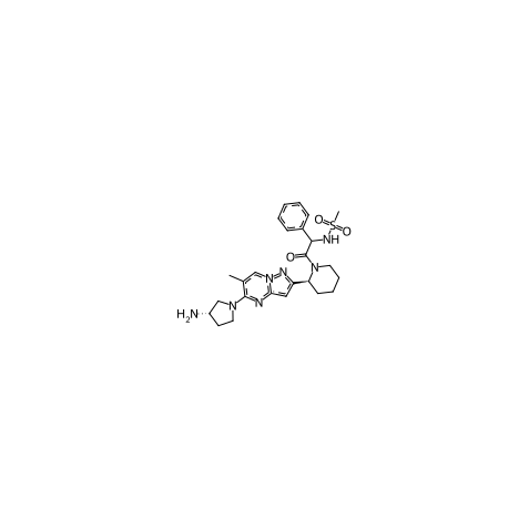 Cc1cn2nc([C@@H]3CCCCN3C(=O)C(NS(C)(=O)=O)c3ccccc3)cc2nc1N1CC[C@H](N)C1